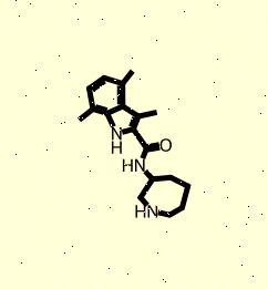 Cc1ccc(C)c2c(C)c(C(=O)NC3CCCCNC3)[nH]c12